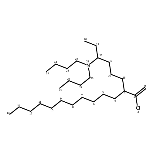 C=C(Cl)C(CCCCCCCCCCC)CCCC(CC)N(CCCC)CCCC